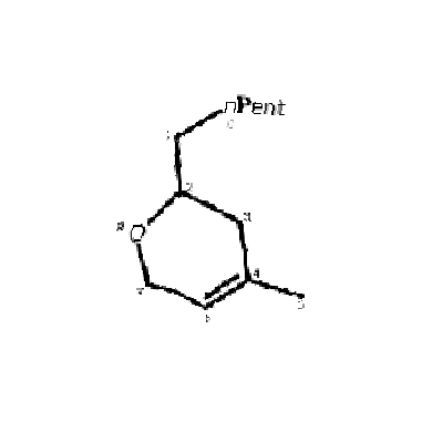 CCCCCCC1CC(C)=CCO1